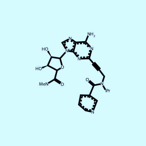 CNC(=O)C1OC(n2cnc3c(N)nc(C#CCN(C(=O)c4cccnc4)C(C)C)nc32)[C@H](O)[C@@H]1O